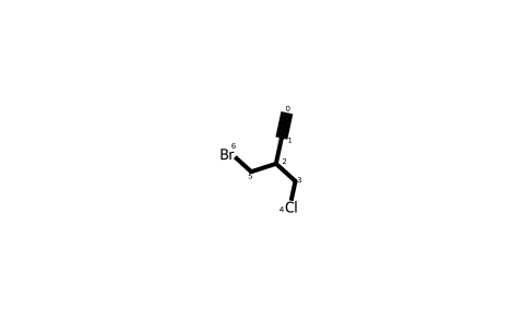 C#CC(CCl)CBr